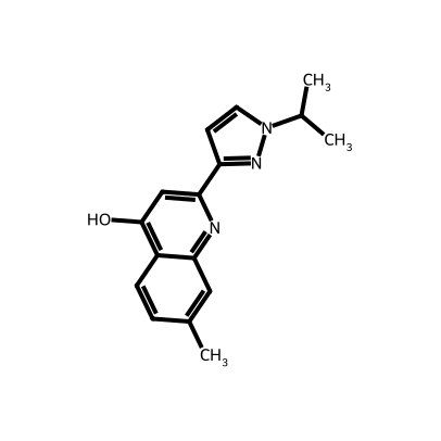 Cc1ccc2c(O)cc(-c3ccn(C(C)C)n3)nc2c1